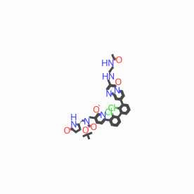 COc1nc(-c2cccc(-c3cccc(-c4ccn5c(=O)c(CNCCNC(C)=O)cnc5c4)c3Cl)c2Cl)ccc1CN(C[C@@H]1CCC(=O)N1)C(=O)OC(C)(C)C